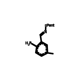 CCCCC/N=C/c1cc(C)ccc1P